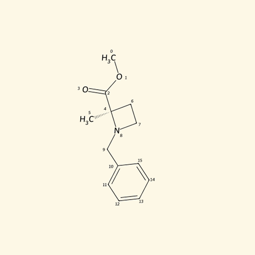 COC(=O)[C@@]1(C)CCN1Cc1ccccc1